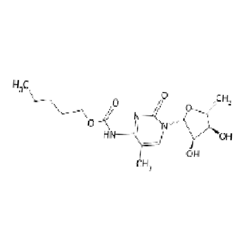 CCCCCOC(=O)Nc1nc(=O)n([C@@H]2O[C@H](C)[C@@H](O)[C@H]2O)cc1C